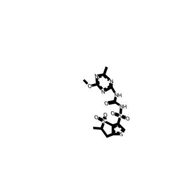 COc1nc(C)nc(NC(=O)NS(=O)(=O)c2csc3c2S(=O)(=O)C(C)C3)n1